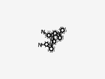 N#Cc1ccc2c(c1)c1ccccc1n2-c1cccc(-n2c3ccc(C#N)cc3c3ccc4c(c5ccccc5n4-c4ccccc4)c32)n1